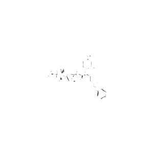 CC(C)(C(=O)O)S(=O)(=O)c1cnc(NC(=O)N(CCCOc2ccccc2)[C@H]2CC[C@H](C)CC2)s1